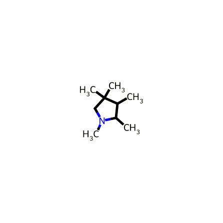 CC1C(C)C(C)(C)CN1C